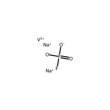 O=P([O-])([O-])F.[Na+].[Na+].[V+5]